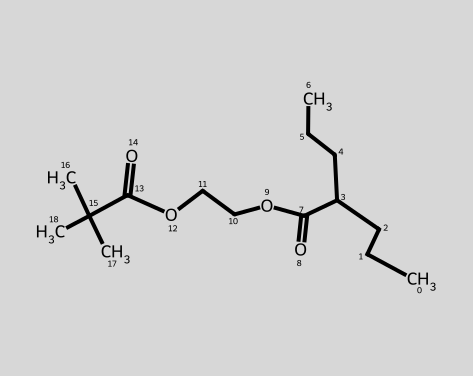 CCCC(CCC)C(=O)OCCOC(=O)C(C)(C)C